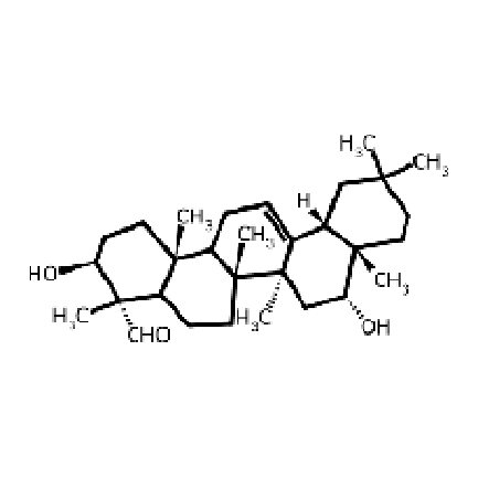 CC1(C)CC[C@]2(C)[C@H](O)C[C@]3(C)C(=CCC4[C@@]5(C)CC[C@H](O)[C@@](C)(C=O)C5CC[C@]43C)[C@@H]2C1